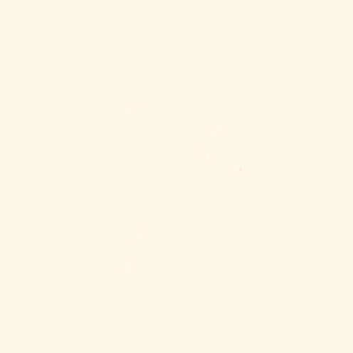 C=CC[C@H]1CCCC(=C)CC(OCOC)/C=C/CC(C(O)/C=C/C2CCCCC2)OC(=O)C#CCO1